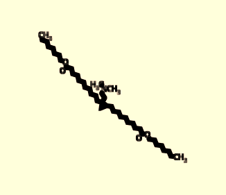 CCCCCCCCOC(=O)CCCCCCCCCCC1(CCN(C)C)CC1CCCCCCCCCC(=O)OCCCCCCCC